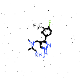 CC(CN)N(C)Cc1c[nH]nc1-c1ccc(F)c(C(F)(F)F)c1